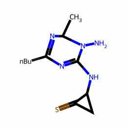 CCCCC1=NC(C)N(N)C(NC2CC2=S)=N1